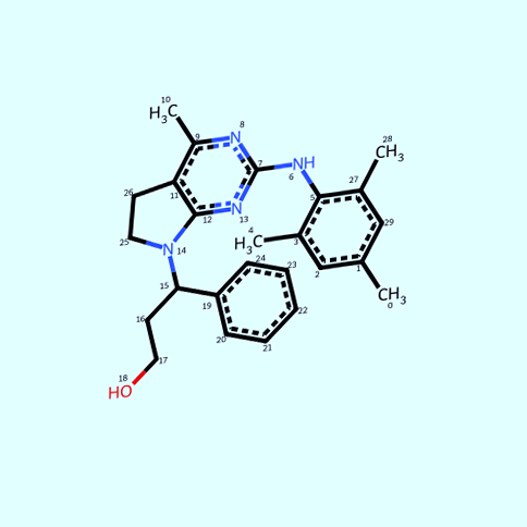 Cc1cc(C)c(Nc2nc(C)c3c(n2)N(C(CCO)c2ccccc2)CC3)c(C)c1